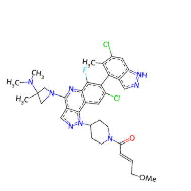 COC/C=C/C(=O)N1CCC(n2ncc3c(N4CC(C)(N(C)C)C4)nc4c(F)c(-c5c(C)c(Cl)cc6[nH]ncc56)c(Cl)cc4c32)CC1